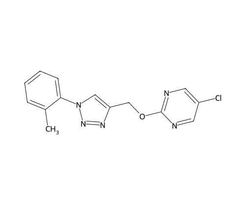 Cc1ccccc1-n1cc(COc2ncc(Cl)cn2)nn1